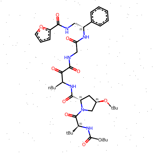 CCCCC(NC(=O)[C@@H]1C[C@@H](OC(C)(C)C)CN1C(=O)[C@@H](NC(=O)OCC(C)C)C(C)(C)C)C(=O)C(=O)NCC(=O)N[C@H](CNC(=O)c1ccco1)c1ccccc1